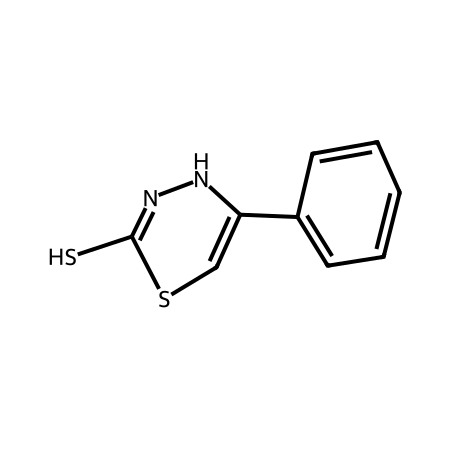 SC1=NNC(c2ccccc2)=CS1